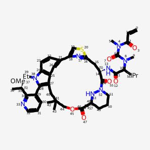 C=CC(=O)N(C)C(=O)N(C)C(C(=O)N[C@H]1Cc2nc(cs2)-c2ccc3c(c2)c(c(-c2cccnc2[C@H](C)OC)n3CC)CC(C)(C)COC(=O)[C@@H]2CCCN(N2)C1=O)C(C)C